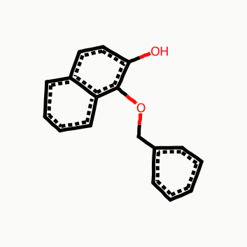 Oc1ccc2ccccc2c1OCc1ccccc1